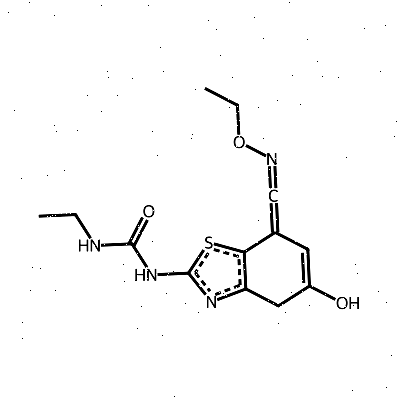 CCNC(=O)Nc1nc2c(s1)C(=C=NOCC)C=C(O)C2